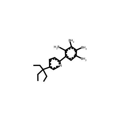 Bc1cc(-c2ccc(C(CC)(CC)CC)cn2)c(B)c(B)c1B